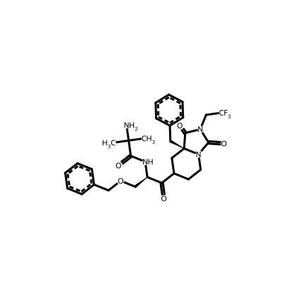 CC(C)(N)C(=O)N[C@H](COCc1ccccc1)C(=O)C1CCN2C(=O)N(CC(F)(F)F)C(=O)[C@@]2(Cc2ccccc2)C1